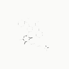 COC(OC1CCCCC1)C1OC(n2cc(C)c(=O)n(CCCCOS(C)(=O)=O)c2=O)CC1OC1(OC)CCCCC1